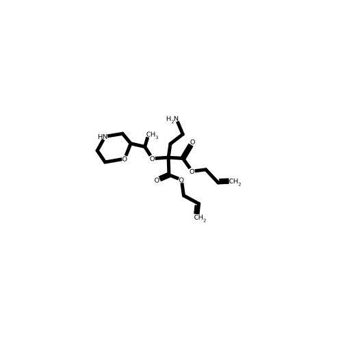 C=CCOC(=O)C(CCN)(OC(C)C1CNCCO1)C(=O)OCC=C